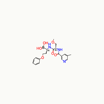 COC[C@@H](NC(=O)c1cncc(C)c1)C(=O)N[C@@H](CCOc1ccccc1)B(O)O